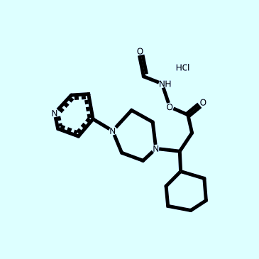 Cl.O=CNOC(=O)CC(C1CCCCC1)N1CCN(c2ccncc2)CC1